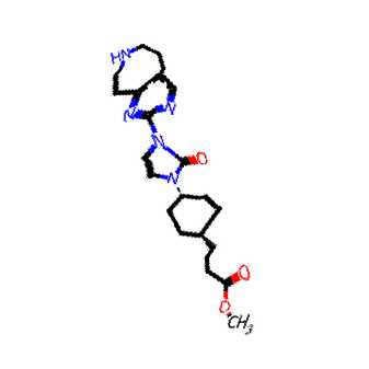 COC(=O)CC[C@H]1CC[C@H](N2CCN(c3ncc4c(n3)CCNCC4)C2=O)CC1